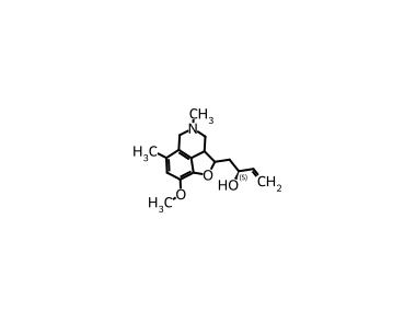 C=C[C@@H](O)CC1Oc2c(OC)cc(C)c3c2C1CN(C)C3